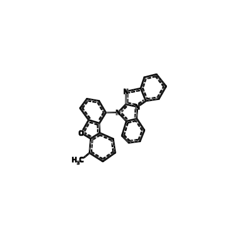 Cc1cccc2c1oc1cccc(-n3c4ccccc4n4c5ccccc5nc34)c12